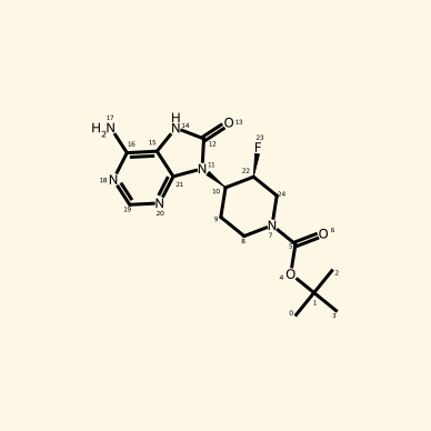 CC(C)(C)OC(=O)N1CC[C@@H](n2c(=O)[nH]c3c(N)ncnc32)[C@@H](F)C1